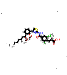 CCCCCCC(OC)c1cccc(-c2csc(NC(=O)c3cc(Cl)c(C=C(C)C(=O)O)c(Cl)c3)n2)c1OC